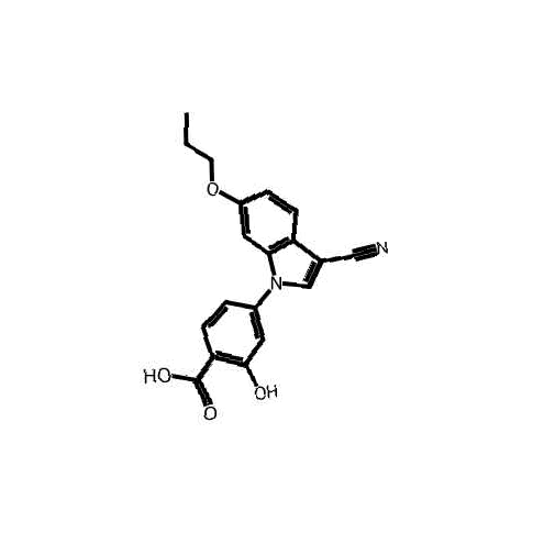 CCCOc1ccc2c(C#N)cn(-c3ccc(C(=O)O)c(O)c3)c2c1